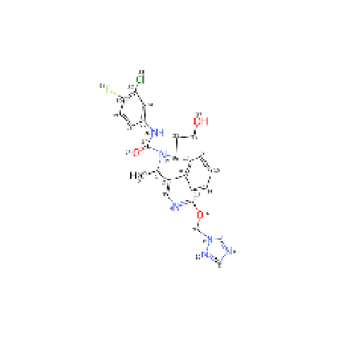 CC(c1cnc(OCn2cncn2)c2ccccc12)N(CCCO)C(=O)Nc1ccc(F)c(Cl)c1